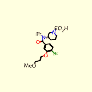 COCCCOc1cc(C(=O)N(C(C)C)[C@@H]2CCCN(C(=O)O)C2)ccc1Br